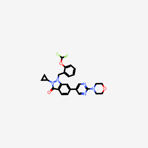 O=c1c2ccc(-c3cnc(N4CCOCC4)nc3)cc2n(Cc2ccccc2OC(F)F)n1C1CC1